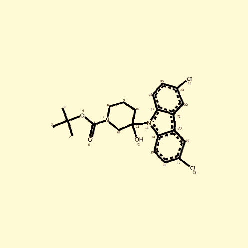 CC(C)(C)OC(=O)N1CCCC(O)(n2c3ccc(Cl)cc3c3cc(Cl)ccc32)C1